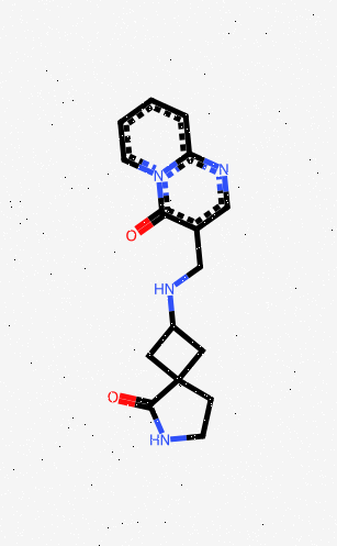 O=C1NCCC12CC(NCc1cnc3ccccn3c1=O)C2